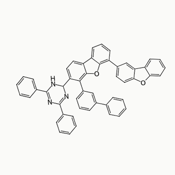 c1ccc(C2=NC(c3ccc4c(oc5c(-c6ccc7oc8ccccc8c7c6)cccc54)c3-c3cccc(-c4ccccc4)c3)NC(c3ccccc3)=N2)cc1